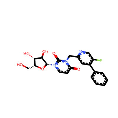 O=c1ccn([C@@H]2O[C@H](CO)[C@H](O)C2O)c(=O)n1Cc1cc(-c2ccccc2)c(F)cn1